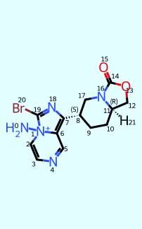 N[N+]12C=CN=CC1=C([C@H]1CC[C@@H]3COC(=O)N3C1)N=C2Br